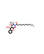 CCCCCCCCCC(=O)NC(C)C(=O)c1c(O)c2ccccc2oc1=O